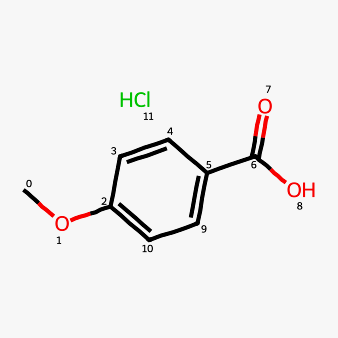 COc1ccc(C(=O)O)cc1.Cl